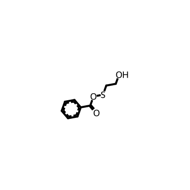 O=C(OSCCO)c1ccccc1